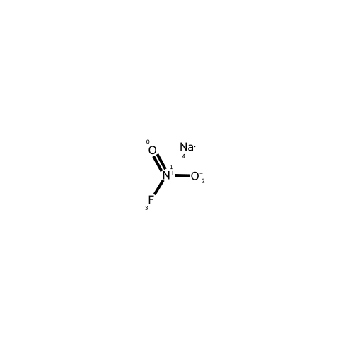 O=[N+]([O-])F.[Na]